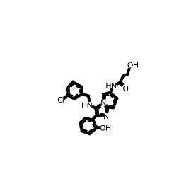 O=C(CCO)Nc1ccc2nc(-c3ccccc3O)c(NCc3cccc(Cl)c3)n2c1